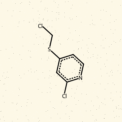 ClCSc1ccnc(Cl)c1